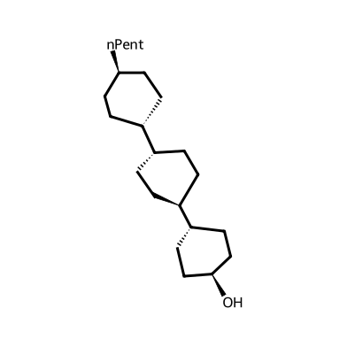 CCCCC[C@H]1CC[C@H]([C@H]2CC[C@H]([C@H]3CC[C@H](O)CC3)CC2)CC1